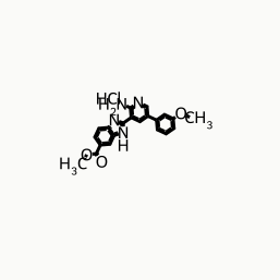 COC(=O)c1ccc2nc(-c3cc(-c4cccc(OC)c4)cnc3N)[nH]c2c1.Cl